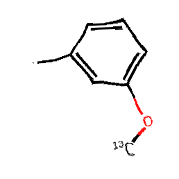 [CH2]c1cccc(O[13CH3])c1